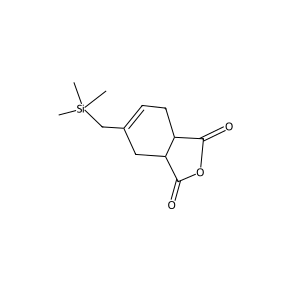 C[Si](C)(C)CC1=CCC2C(=O)OC(=O)C2C1